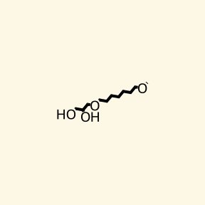 COCCCCCCCOCC(O)CO